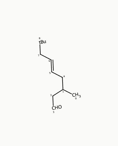 CC(CC=O)C/C=C/CC(C)(C)C